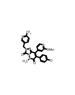 COc1cc(-c2c(-c3ccc(Cl)cc3)c(=O)n(C)n3c(=O)n(Cc4ccc(C(F)(F)F)nc4)nc23)ccn1